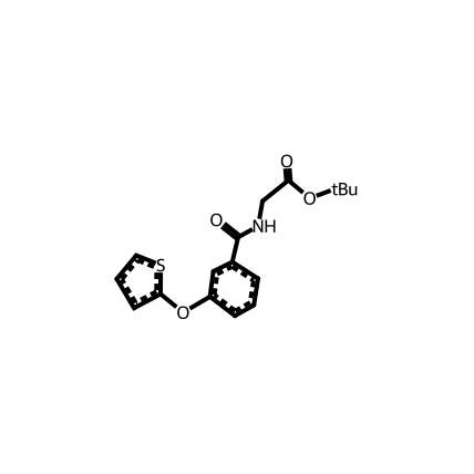 CC(C)(C)OC(=O)CNC(=O)c1cccc(Oc2cccs2)c1